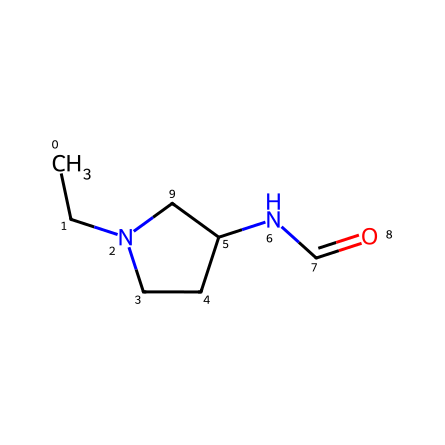 CCN1CCC(NC=O)C1